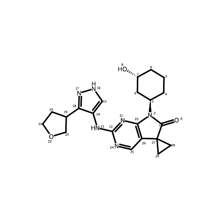 O=C1N([C@@H]2CCC[C@@H](O)C2)c2nc(Nc3c[nH]nc3C3CCOC3)ncc2C12CC2